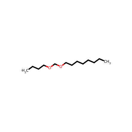 [CH2]CCCOCOCCCCCCCC